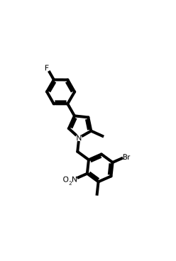 Cc1cc(Br)cc(Cn2cc(-c3ccc(F)cc3)cc2C)c1[N+](=O)[O-]